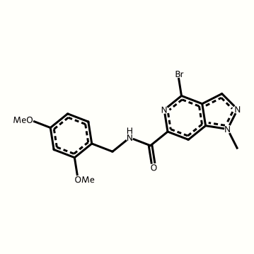 COc1ccc(CNC(=O)c2cc3c(cnn3C)c(Br)n2)c(OC)c1